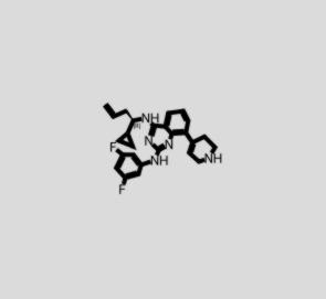 C=CC[C@@H](Nc1nc(Nc2cc(F)cc(F)c2)nc2c(C3=CCNCC3)cccc12)C1CC1